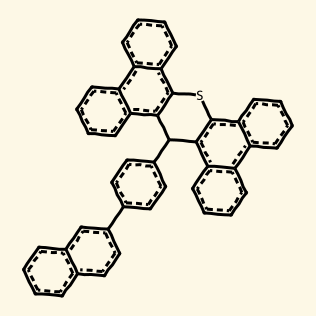 c1ccc2cc(-c3ccc(C4c5c(c6ccccc6c6ccccc56)Sc5c4c4ccccc4c4ccccc54)cc3)ccc2c1